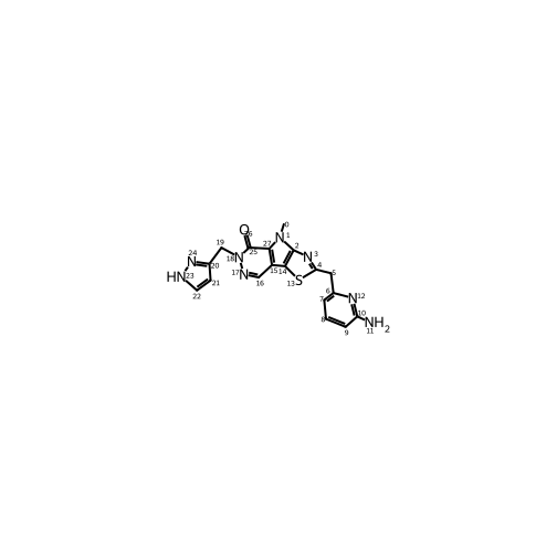 Cn1c2nc(Cc3cccc(N)n3)sc2c2cnn(Cc3cc[nH]n3)c(=O)c21